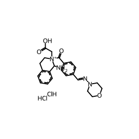 Cl.Cl.NC1c2ccccc2CC[N+]1(CC(=O)O)C(=O)c1ccc(C=NN2CCOCC2)cc1